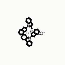 Cc1cc2ccccc2n1C1=Cc2ccccc2[CH]1[Hf+2][CH]1C(n2c3c(c4ccccc42)CCCC3)=Cc2ccccc21.[Cl-].[Cl-]